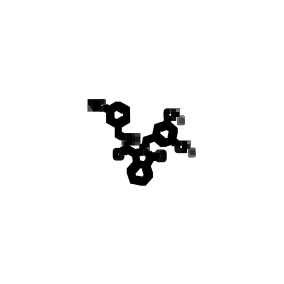 N#Cc1cccc(CNC(=O)C2c3ccccc3C(=O)N2Cc2cc(C(F)(F)F)cc(C(F)(F)F)c2)c1